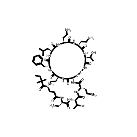 CCC(C)(C)C(=O)OCCC(=O)N[C@@H](CN)C(=O)N[C@H](C(=O)N[C@@H](CCN)C(=O)N[C@H]1CCNC(=O)[C@H](C(C)O)NC(=O)[C@H](CCN)NC(=O)[C@H](CCN)NC(=O)[C@H](CC(C)C)NC(=O)[C@@H](Cc2ccccc2)NC(=O)[C@H](CCN)NC1=O)C(C)O